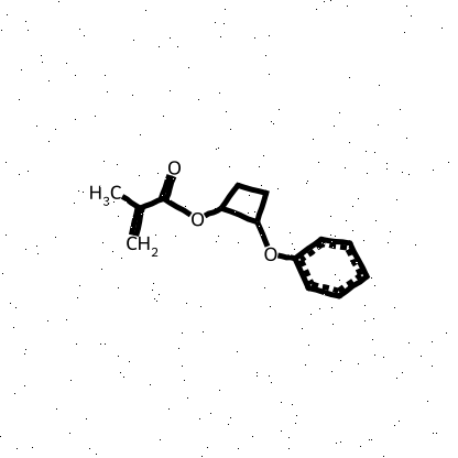 C=C(C)C(=O)OC1CCC1Oc1ccccc1